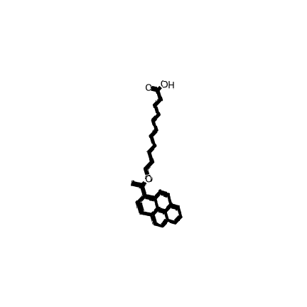 C=C(OCCCCCCCCCCC(=O)O)c1ccc2ccc3cccc4ccc1c2c34